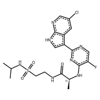 CC(C)NS(=O)(=O)CCNC(=O)[C@H](C)Nc1nc(-c2c[nH]c3ncc(Cl)cc23)ncc1F